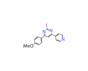 COc1ccc(-c2cc(-c3ccncc3)nc(I)n2)cc1